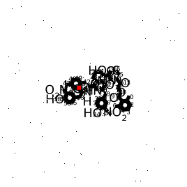 Cc1cccc(C)c1C(=O)OCC(=O)[C@H](CC(=O)O)NC(=O)C1CCCCN1C(=O)[C@@H](Cc1ccc(O)c([N+](=O)[O-])c1)NC(=O)[C@@H](Cc1ccc(I)cc1)NC(=O)Cc1ccc(O)c([N+](=O)[O-])c1